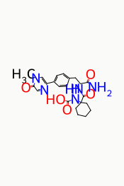 Cn1cc(-c2ccc(CC(NC(=O)C3(NC(=O)O)CCCCC3)C(N)=O)cc2)ncc1=O